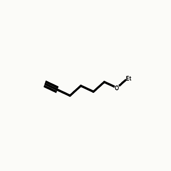 C#CCCCCOC[CH2]